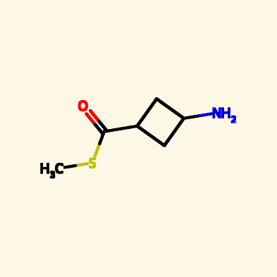 CSC(=O)C1CC(N)C1